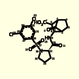 O=C1C2CCC1C(C(=O)O)C2NC(=O)[C@@H]1CCCN1S(=O)(=O)c1cc(Cl)cc(Cl)c1